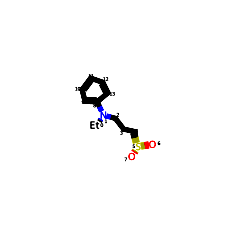 CCN(CCC=S(=O)=O)c1ccccc1